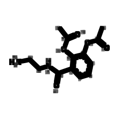 CC(=O)Oc1cccc(C(=O)NCCN)c1OC(C)=O